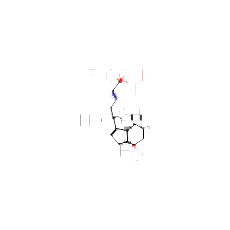 CC(C)(C/C=C/C(O)(C(F)(F)F)C(F)(F)F)C1=CC[C@H]2C(=O)CCC[C@]12C